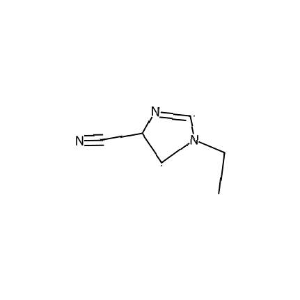 CCN1[C]=NC(C#N)[CH]1